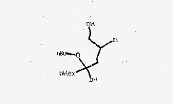 CCCCCCC(O)(CC(CC)CO)OCCCC